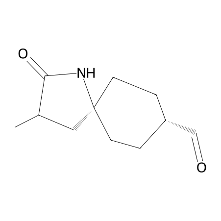 CC1C[C@]2(CC[C@@H](C=O)CC2)NC1=O